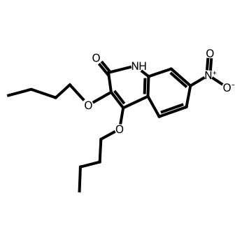 CCCCOc1c(OCCCC)c2ccc([N+](=O)[O-])cc2[nH]c1=O